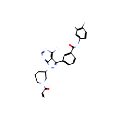 C=CC(=O)N1CCCC(n2nc(-c3cccc(C(=O)Nc4ccc(C(C)C)c(C)c4)c3)c3c(N)ncnc32)C1